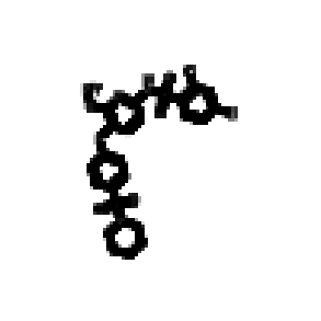 CCCOc1nc(NS(=O)(=O)c2ccc(Cl)cc2Cl)ccc1Sc1ccc(S(=O)(=O)N2CCCCC2)cc1